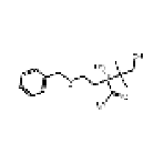 CC(C)(CO)[C@](O)(CCNCc1ccccc1)C(N)=O